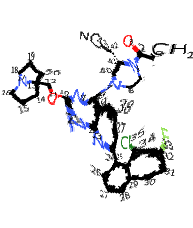 C=CC(=O)N1CCN(c2nc(OCC34CCCN3CCC4)nc3nc(-c4cccc5ccc(F)c(Cl)c45)ccc23)C[C@@H]1CC#N